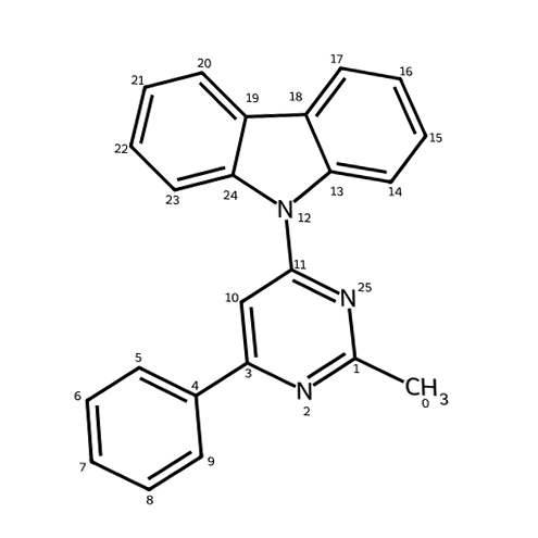 Cc1nc(-c2ccccc2)cc(-n2c3ccccc3c3ccccc32)n1